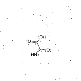 CCC(=N)C(=O)O